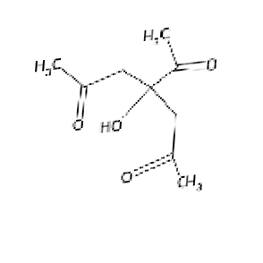 CC(=O)CC(O)(CC(C)=O)C(C)=O